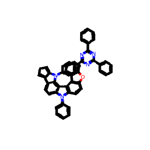 C1=c2c(n(-c3ccc(-c4nc(-c5ccccc5)nc(-c5ccccc5)n4)cc3)c3c2ccc2c3c3c4c(ccc3n2-c2ccccc2)oc2ccccc24)=CC1